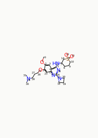 COc1cc2c(NC3CCCS(=O)(=O)C3)nc(N3CCC3)nc2cc1OCCCN(C)C